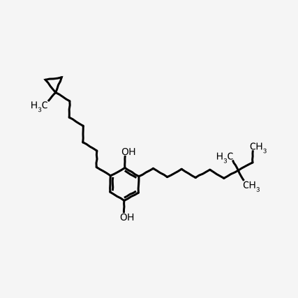 CCC(C)(C)CCCCCCc1cc(O)cc(CCCCCCC2(C)CC2)c1O